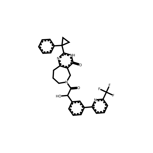 O=C(C(O)c1cccc(-c2cccc(C(F)(F)F)n2)c1)N1CCCc2nc(C3(c4ccccc4)CC3)[nH]c(=O)c2C1